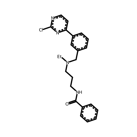 CCN(CCCNC(=O)c1ccccc1)Cc1cccc(-c2ccnc(Cl)n2)c1